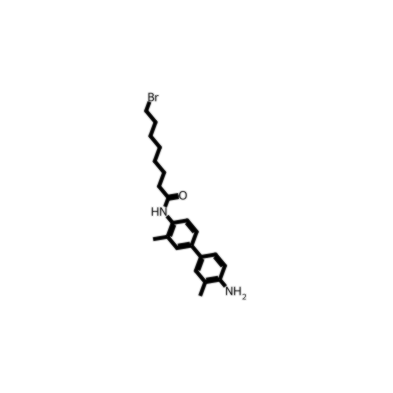 Cc1cc(-c2ccc(NC(=O)CCCCCCCBr)c(C)c2)ccc1N